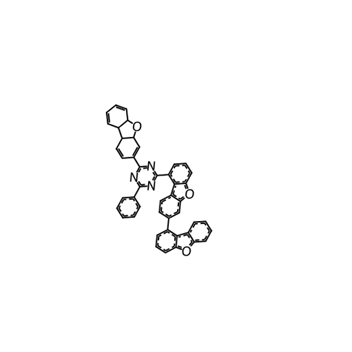 C1=CC2OC3C=C(c4nc(-c5ccccc5)nc(-c5cccc6oc7cc(-c8cccc9oc%10ccccc%10c89)ccc7c56)n4)C=CC3C2C=C1